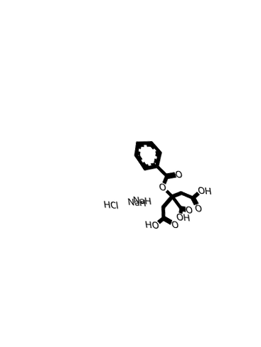 Cl.O=C(O)CC(CC(=O)O)(OC(=O)c1ccccc1)C(=O)O.[NaH].[NaH]